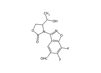 CC(O)C1COC(=O)N1c1noc2c(F)c(F)c(C=O)cc12